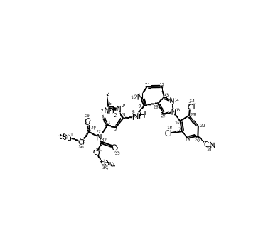 C=C(/C=C(\N=C(\C)N)Nc1nccc2nn(-c3c(Cl)cc(C#N)cc3Cl)cc12)N(C(=O)OC(C)(C)C)C(=O)OC(C)(C)C